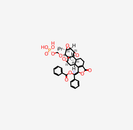 CC(C)[C@]12O[C@H]1[C@@H]1O[C@]13[C@]1(O[C@H]1C[C@H]1C4=C(CC[C@@]13C)C(=O)O/C4=C(/OC(=O)c1ccccc1)c1ccccc1)[C@@H]2OCOP(=O)(O)O